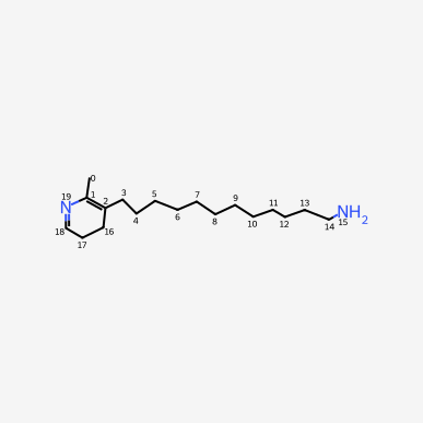 CC1=C(CCCCCCCCCCCCN)CCC=N1